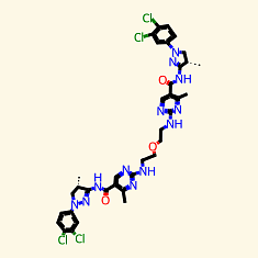 Cc1nc(NCCOCCNc2ncc(C(=O)NC3=NN(c4ccc(Cl)c(Cl)c4)C[C@@H]3C)c(C)n2)ncc1C(=O)NC1=NN(c2ccc(Cl)c(Cl)c2)C[C@@H]1C